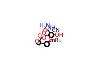 CCCCOc1cccc(-c2ccoc2C(=O)OC(=O)c2ccc(O)c(C#N)c2C(=O)NN)c1